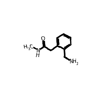 CNC(=O)Cc1ccccc1CN